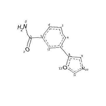 NC(=O)c1cccc(-c2cnco2)c1